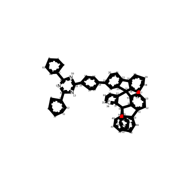 c1ccc(-c2nc(-c3ccccc3)nc(-c3ccc(-c4ccc5c(c4)C4(c6ccccc6-5)c5ccccc5C5(c6ccccc6)c6ccccc6-c6cccc4c65)cc3)n2)cc1